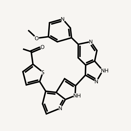 COc1cncc(-c2cc3c(-c4cc5c(-c6ccc(C(C)=O)s6)ccnc5[nH]4)n[nH]c3cn2)c1